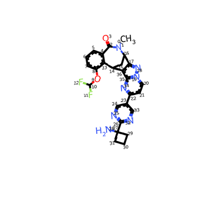 CN1C(=O)c2cccc(OC(F)F)c2C2CC1c1nn3ccc(-c4cnc(C5(N)CCC5)nc4)nc3c12